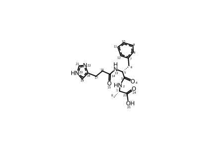 C[C@H](NC(=O)[C@@H](Cc1ccccc1)NC(=O)CCc1c[nH]cn1)C(=O)O